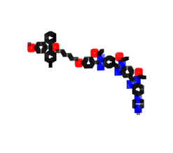 COc1ccc(C(OCCCCCCOc2ccc(-c3nc4cc(-c5nc6cc(-c7nc8cc(N9CCN(C)CC9)ccc8n7C(C)=O)ccc6n5C(C)=O)ccc4n3C(C)=O)cc2)(c2ccccc2)c2ccc(C)cc2)cc1